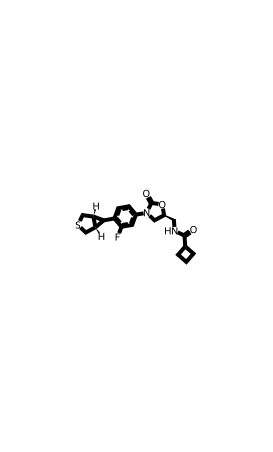 O=C(NC[C@H]1CN(c2ccc(C3[C@H]4CSC[C@@H]34)c(F)c2)C(=O)O1)C1CCC1